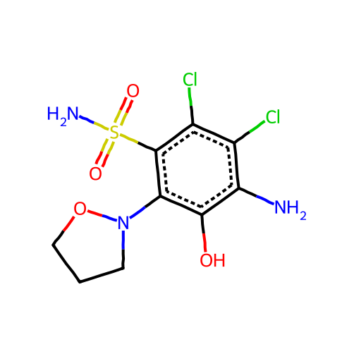 Nc1c(O)c(N2CCCO2)c(S(N)(=O)=O)c(Cl)c1Cl